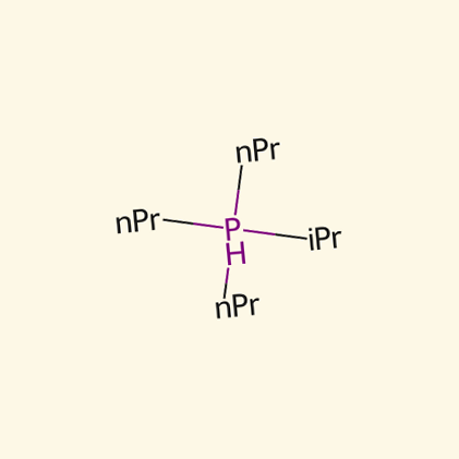 CCC[PH](CCC)(CCC)C(C)C